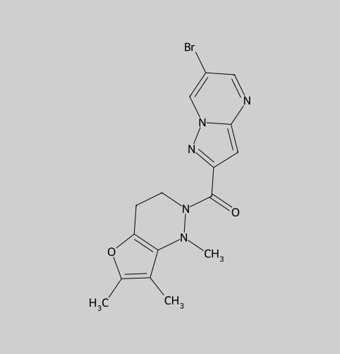 Cc1oc2c(c1C)N(C)N(C(=O)c1cc3ncc(Br)cn3n1)CC2